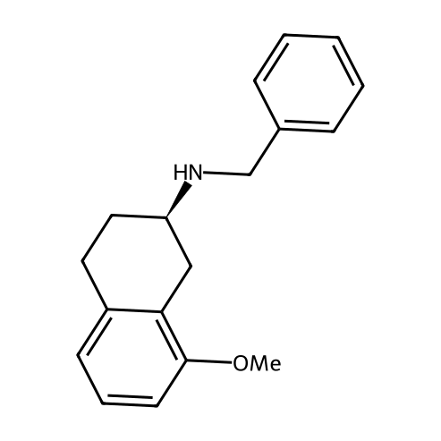 COc1cccc2c1C[C@H](NCc1ccccc1)CC2